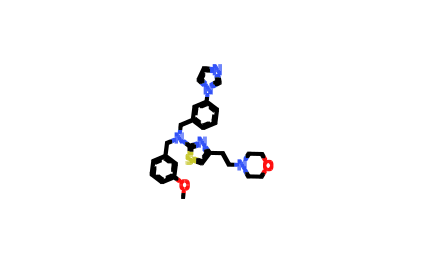 COc1cccc(CN(Cc2cccc(-n3ccnc3)c2)c2nc(CCN3CCOCC3)cs2)c1